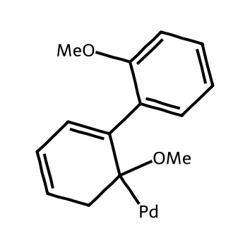 COc1ccccc1C1=CC=CC[C]1([Pd])OC